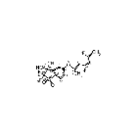 C=C(F)/C=C(F)\C=C(/C)Oc1ccc2c(c1)C(C)(O)C(F)(F)S2(=O)=O